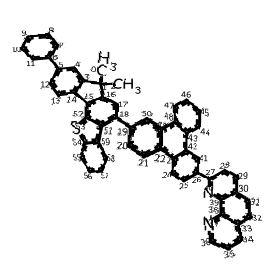 CC1(C)c2cc(-c3ccccc3)ccc2-c2c1cc(-c1ccc3c4ccc(-c5ccc6ccc7cccnc7c6n5)cc4c4ccccc4c3c1)c1c2sc2ccccc21